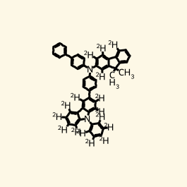 [2H]c1cccc2c1-c1c([2H])c([2H])c(N(c3ccc(-c4ccccc4)cc3)c3ccc(-c4c([2H])c([2H])c5c(c4[2H])c4c([2H])c([2H])c([2H])c([2H])c4n5-c4c([2H])c([2H])c([2H])c([2H])c4[2H])cc3)c([2H])c1C2(C)C